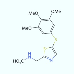 COc1cc(Sc2cnc(CNC(=O)O)s2)cc(OC)c1OC